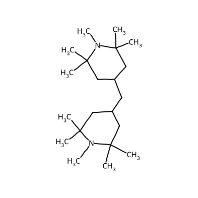 CN1C(C)(C)CC(CC2CC(C)(C)N(C)C(C)(C)C2)CC1(C)C